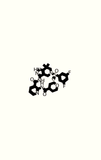 CC1(C)CN(S(=O)(=O)c2cc(F)cc(F)c2)Cc2c(NC(=O)c3cccnc3NC(=O)C3CCOCC3)n[nH]c21